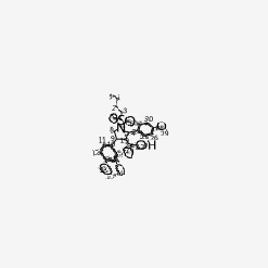 CCCCS(=O)(=O)N1CC(c2ccc3c(c2)OCO3)C(C(=O)O)C1c1ccc(OC)cc1